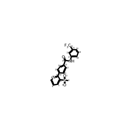 CS(=O)(=O)c1cccnc1-c1ccc(C(=O)Nc2cccc(C(F)(F)F)c2)cc1